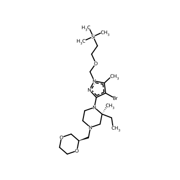 CC[C@@]1(C)CN(C[C@@H]2COCCO2)CCN1c1nn(COCC[Si](C)(C)C)c(C)c1Br